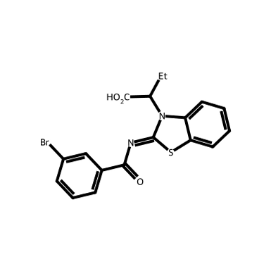 CCC(C(=O)O)n1c(=NC(=O)c2cccc(Br)c2)sc2ccccc21